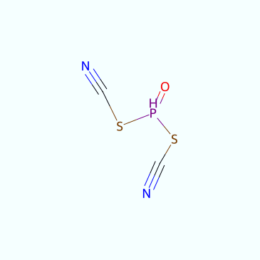 N#CS[PH](=O)SC#N